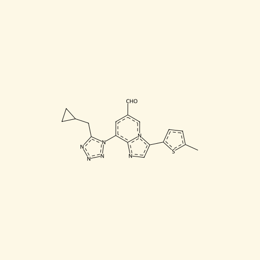 Cc1ccc(-c2cnc3c(-n4nnnc4CC4CC4)cc(C=O)cn23)s1